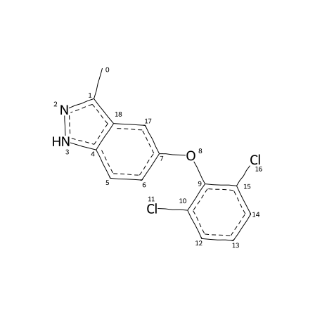 Cc1n[nH]c2ccc(Oc3c(Cl)cccc3Cl)cc12